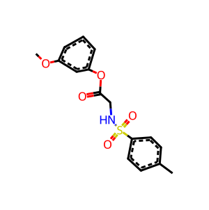 COc1cccc(OC(=O)CNS(=O)(=O)c2ccc(C)cc2)c1